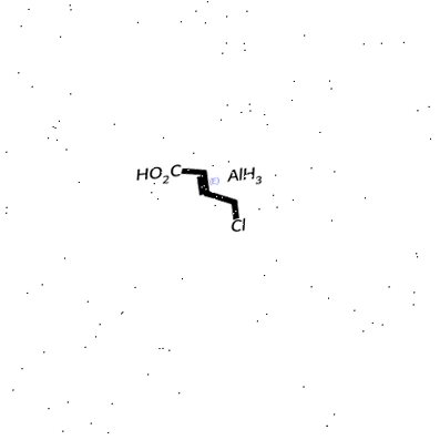 O=C(O)/C=C/CCl.[AlH3]